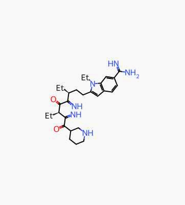 CC[C@@H](CCc1cc2ccc(C(=N)N)cc2n1CC)C(=N)C(=O)[C@H](CC)C(=N)C(=O)C1CCCNC1